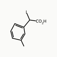 Cc1cccc(C(I)C(=O)O)c1